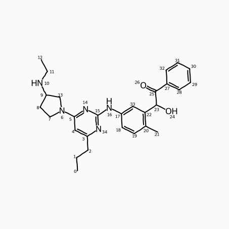 CCCc1cc(N2CCC(NCC)C2)nc(Nc2ccc(C)c(C(O)C(=O)c3ccccc3)c2)n1